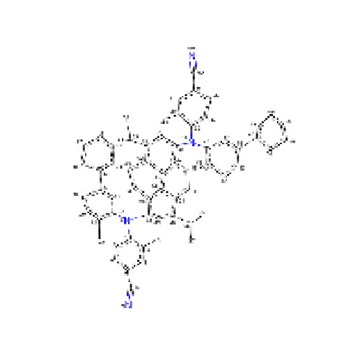 Cc1cc(C#N)ccc1N(c1cc(-c2ccccc2)ccc1C)c1cc(C(C)C)c2ccc3c(N(c4ccc(C#N)cc4C)c4cc(-c5ccccc5)ccc4C)cc(C(C)C)c4ccc1c2c43